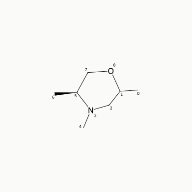 CC1CN(C)[C@@H](C)CO1